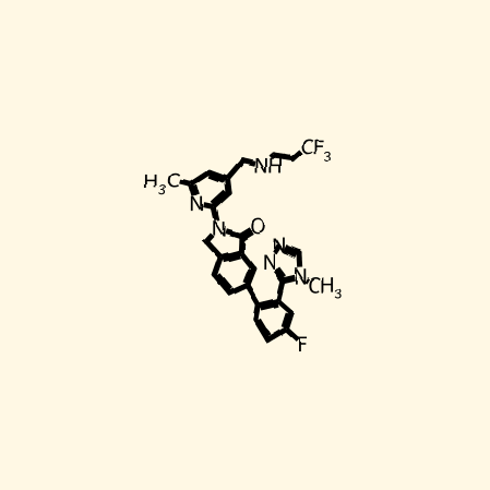 Cc1cc(CNCCC(F)(F)F)cc(N2Cc3ccc(-c4ccc(F)cc4-c4nncn4C)cc3C2=O)n1